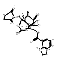 N=C1N[C@H]2[C@H](CN3C(=O)CCC3=O)NC(=N)N3CC(NC(=O)c4cccc5c4OCC5)C(O)(O)[C@]23N1